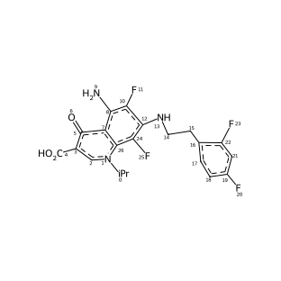 CC(C)n1cc(C(=O)O)c(=O)c2c(N)c(F)c(NCCc3ccc(F)cc3F)c(F)c21